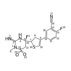 CN1C(=N)N[C@](C)(C2CC(c3ccc(F)c(C#N)c3)=CS2)CS1(=O)=O